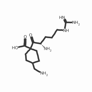 N=C(N)NCCC[C@H](N)C(=O)C1(C(=O)O)CCC(CN)CC1